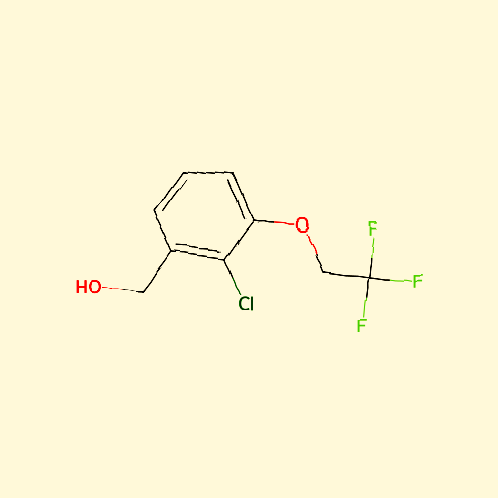 OCc1cccc(OCC(F)(F)F)c1Cl